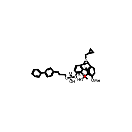 COC12CCC3(CC1C(C)(O)C(C)(C)C)C1N(CC4CC4)C14CC31c3c4ccc(OP(=O)(O)OCCCc4ccc(-c5ccccc5)cc4)c3OC21